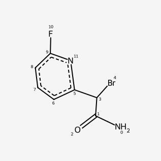 NC(=O)C(Br)c1cccc(F)n1